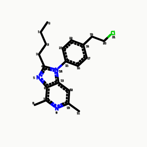 CCCCc1nc2c(C)nc(C)cc2n1-c1ccc(CCCl)cc1